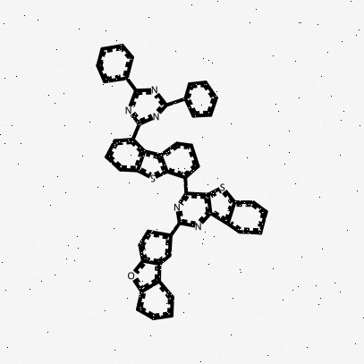 c1ccc(-c2nc(-c3ccccc3)nc(-c3cccc4sc5c(-c6nc(-c7ccc8oc9ccccc9c8c7)nc7c6sc6ccccc67)cccc5c34)n2)cc1